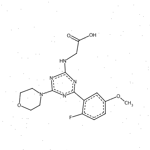 COc1ccc(F)c(-c2nc(NCC(=O)O)nc(N3CCOCC3)n2)c1